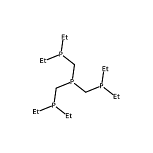 CCP(CC)CP(CP(CC)CC)CP(CC)CC